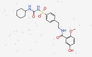 COc1ccc(O)cc1C(=O)NCCc1ccc(S(=O)(=O)NC(=O)NC2CCCCC2)cc1